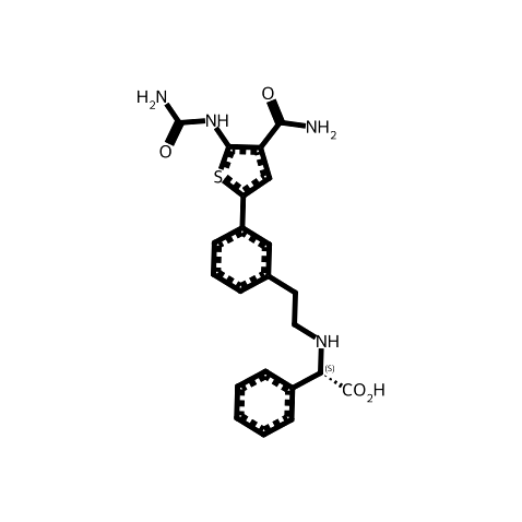 NC(=O)Nc1sc(-c2cccc(CCN[C@H](C(=O)O)c3ccccc3)c2)cc1C(N)=O